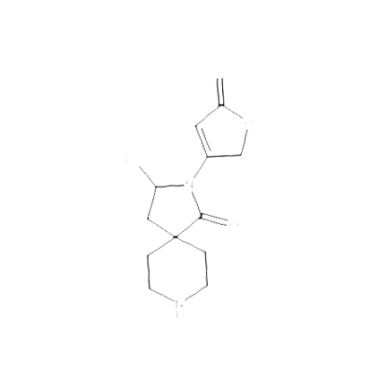 CCC1CC2(CCNCC2)C(=O)N1C1=CC(=O)OC1